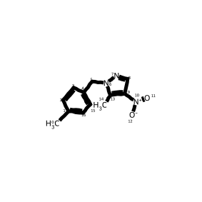 Cc1ccc(Cn2ncc([N+](=O)[O-])c2C)cc1